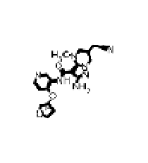 CN1CC(CC#N)Cn2nc(N)c(C(=O)Nc3cnccc3O[C@H]3CCOC3)c21